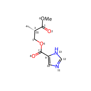 COC(=O)[C@@H](C)COC(=O)c1cnc[nH]1